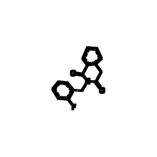 O=C1Cc2ccccc2C(=O)N1Cc1ccccc1F